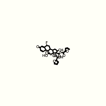 C[C@@H]1CC2C3C[C@H](F)C4=CC(=O)C=C[C@]4(C)C3[C@@H](O)C[C@]2(C)[C@@]1(OC(O)c1ccco1)C(=O)SC(=O)c1ccco1